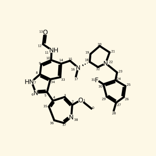 COC1=CC(c2n[nH]c3cc(NC=O)c(CN(C)[C@@H]4CCCN(Cc5ccc(C)cc5F)C4)cc23)=CCC=N1